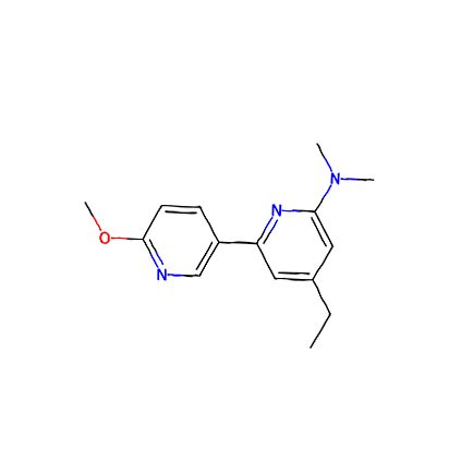 CCc1cc(-c2ccc(OC)nc2)nc(N(C)C)c1